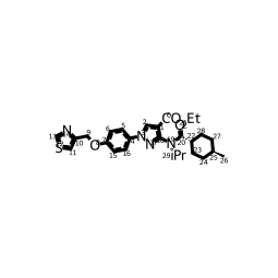 CCOC(=O)c1cn(-c2ccc(OCc3cscn3)cc2)nc1N(C(=O)[C@H]1CC[C@H](C)CC1)C(C)C